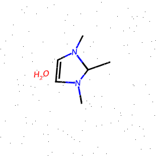 CC1N(C)C=CN1C.O